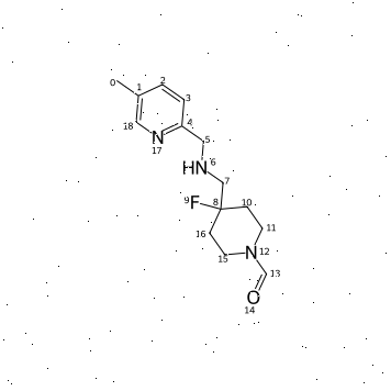 Cc1ccc(CNCC2(F)CCN(C=O)CC2)nc1